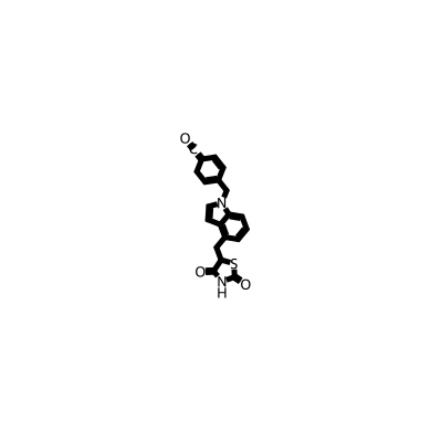 O=C=C1C=CC(Cn2ccc3c(CC4SC(=O)NC4=O)cccc32)=CC1